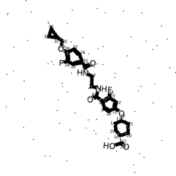 O=C(NCCNC(=O)c1ccc(O[C@H]2CC[C@@H](C(=O)O)CC2)cc1F)c1ccc(OCC2CC2)c(F)c1